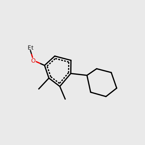 CCOc1ccc(C2CCCCC2)c(C)c1C